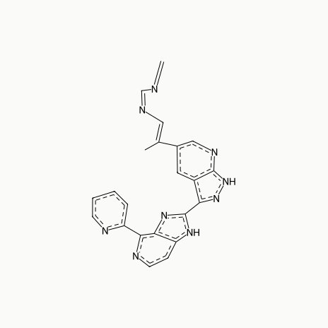 C=N/C=N\C=C(/C)c1cnc2[nH]nc(-c3nc4c(-c5ccccn5)nccc4[nH]3)c2c1